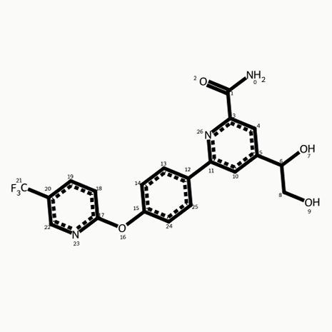 NC(=O)c1cc(C(O)CO)cc(-c2ccc(Oc3ccc(C(F)(F)F)cn3)cc2)n1